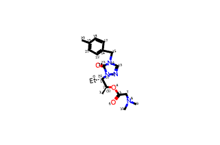 CC[C@@H]([C@H](C)OC(=O)CN(C)C)n1ncn(Cc2ccc(C)cc2)c1=O